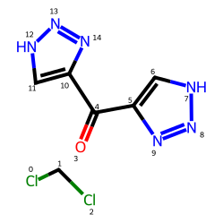 ClCCl.O=C(c1c[nH]nn1)c1c[nH]nn1